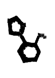 Nc1ccccc1-n1cncn1